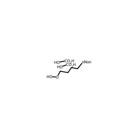 CCCCCCCCCCCCCOO.O=C(O)O.O=C(O)O